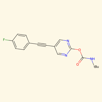 CC(C)(C)NC(=O)Oc1ncc(C#Cc2ccc(F)cc2)cn1